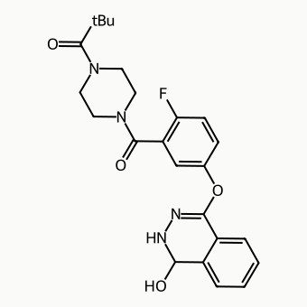 CC(C)(C)C(=O)N1CCN(C(=O)c2cc(OC3=NNC(O)c4ccccc43)ccc2F)CC1